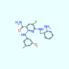 COc1cc(C)cc(Nc2nc(NCc3ccccc3N)c(F)cc2C(N)=O)c1